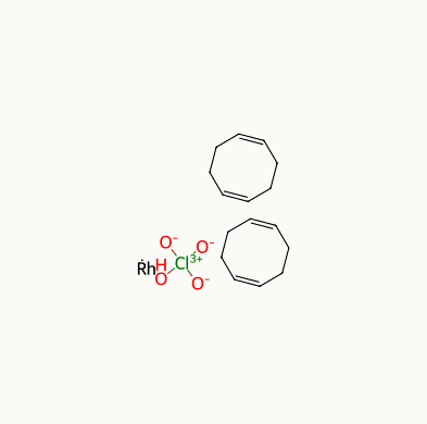 C1=C\CC/C=C\CC/1.C1=C\CC/C=C\CC/1.[O-][Cl+3]([O-])([O-])O.[Rh]